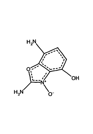 Nc1ccc(O)c2c1oc(N)[n+]2[O-]